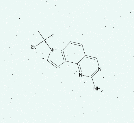 CCC(C)(C)n1ccc2c3nc(N)ncc3ccc21